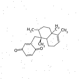 CC1=CCCC2C1(C)CCC(C)[C@@]2(C)CC1=CC(=O)C=CC1=O